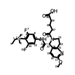 CCS(C)(C)c1c(F)cc(NC(=O)[C@H]2c3ccc(OC)nc3CCN2C(=O)CCCC(=O)O)cc1F